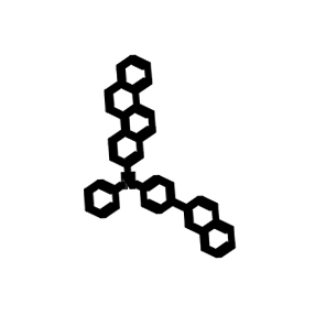 c1ccc(N(c2ccc(-c3ccc4ccccc4c3)cc2)c2ccc3c(ccc4c5ccccc5ccc34)c2)cc1